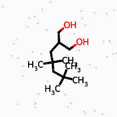 CC(C)(C)CC(C)(C)CC(CO)CO